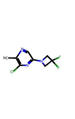 N#Cc1ncc(N2CC(F)(F)C2)nc1Cl